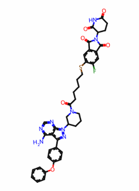 Nc1ncnc2c1c(-c1ccc(Oc3ccccc3)cc1)nn2C1CCCN(C(=O)CCCCCSc2cc3c(cc2F)C(=O)N(C2CCC(=O)NC2=O)C3=O)C1